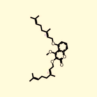 COc1c(OC/C=C(\C)CCC=C(C)C)c(=O)oc2cccc(OC/C=C(\C)CCC=C(C)C)c12